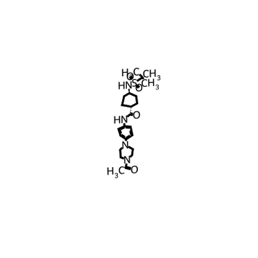 CC(=O)N1CCN(c2ccc(NC(=O)[C@H]3CC[C@H](NS(=O)(=O)C(C)(C)C)CC3)cc2)CC1